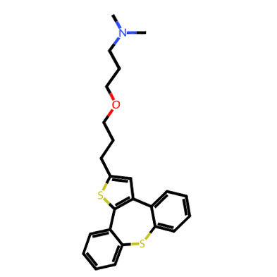 CN(C)CCCOCCCc1cc2c(s1)-c1ccccc1Sc1ccccc1-2